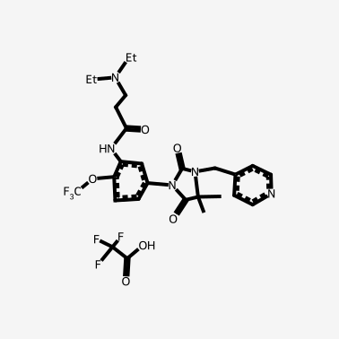 CCN(CC)CCC(=O)Nc1cc(N2C(=O)N(Cc3ccncc3)C(C)(C)C2=O)ccc1OC(F)(F)F.O=C(O)C(F)(F)F